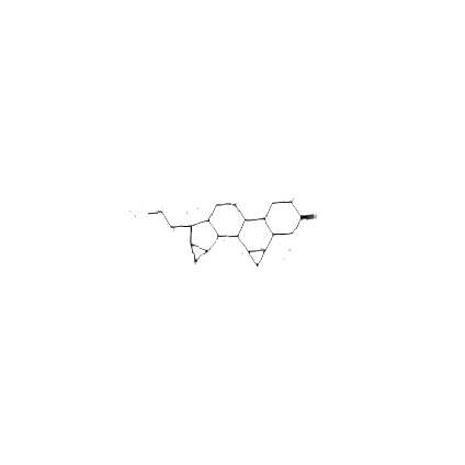 C[C@]12CCC3C(C4CC4[C@]4(O)CC(=O)CC[C@]34C)C1C1CC1[C@@]2(O)CCC#N